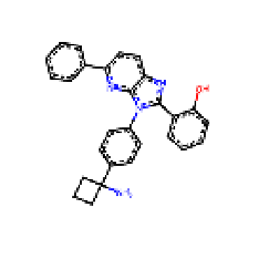 NC1(c2ccc(-n3c(-c4ccccc4O)nc4ccc(-c5ccccc5)nc43)cc2)CCC1